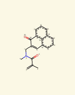 C=C(C)C(=O)N(C)CC1=Cc2cccc3cccc(c23)C1=O